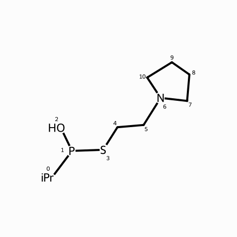 CC(C)P(O)SCCN1CCCC1